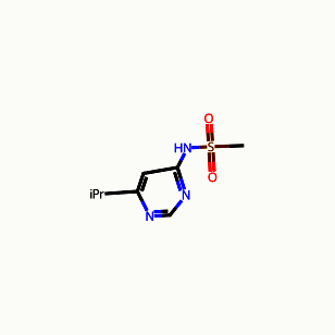 CC(C)c1cc(NS(C)(=O)=O)ncn1